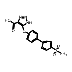 NS(=O)(=O)c1ccc(-c2ccc(Oc3[nH]nnc3C(=O)O)cc2)cc1